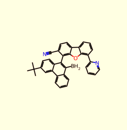 Bc1c(-c2c(C#N)ccc3c2oc2c(-c4ccccn4)cccc23)c2ccc(C(C)(C)C)cc2c2ccccc12